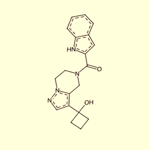 O=C(c1cc2ccccc2[nH]1)N1CCn2ncc(C3(O)CCC3)c2C1